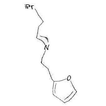 CC(C)CC=NCc1ccco1